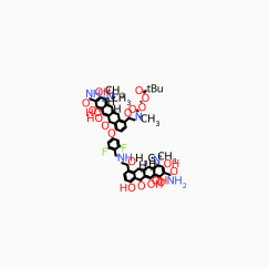 CN(CC(=O)c1ccc(Oc2cc(F)c(CNCC(=O)c3ccc(O)c4c3C[C@H]3C[C@H]5[C@H](N(C)C)C(O)=C(C(N)=O)C(=O)[C@@]5(O)C(O)=C3C4=O)c(F)c2)c2c1C[C@H]1C[C@H]3[C@H](N(C)C)C(O)=C(C(N)=O)C(=O)[C@@]3(O)C(O)=C1C2=O)C(=O)OCOC(=O)C(C)(C)C